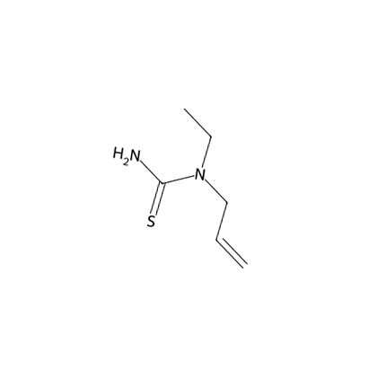 C=CCN(CC)C(N)=S